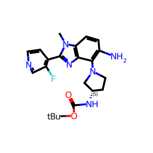 Cn1c(-c2ccncc2F)nc2c(N3CC[C@H](NC(=O)OC(C)(C)C)C3)c(N)ccc21